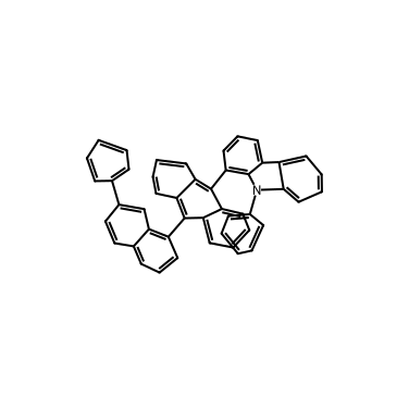 c1ccc(-c2ccc3cccc(-c4c5ccccc5c(-c5cccc6c7ccccc7n(-c7ccccc7)c56)c5ccccc45)c3c2)cc1